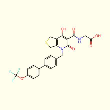 O=C(O)CNC(=O)c1c(O)c2c(n(Cc3ccc(-c4ccc(OC(F)(F)F)cc4)cc3)c1=O)CSC2